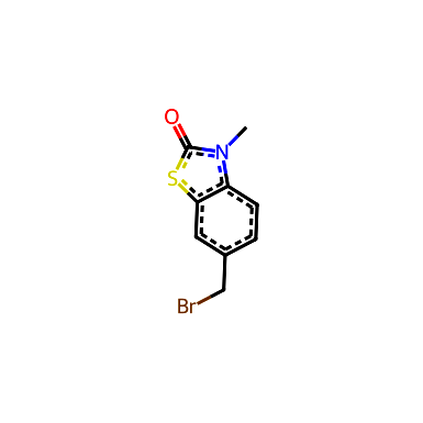 Cn1c(=O)sc2cc(CBr)ccc21